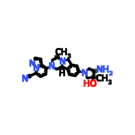 C[C@@H]1CN(c2ccc(C#N)n3nccc23)C[C@@H]2c3ccc(N4C[C@H](N)[C@@](C)(O)C4)cc3CN12